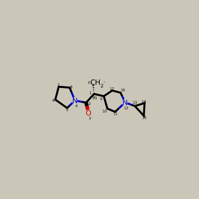 [CH2][C@@H](C(=O)N1CCCC1)C1CCN(C2CC2)CC1